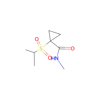 CNC(=O)C1(S(=O)(=O)C(C)C)CC1